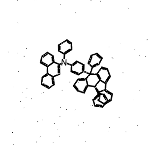 c1ccc(N(c2ccc(C3(c4ccccc4)c4ccccc4C4(c5ccccc5)c5ccccc5-c5cccc3c54)cc2)c2cc3ccccc3c3ccccc23)cc1